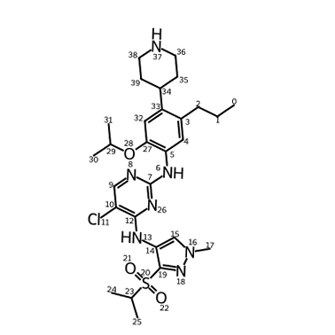 CCCc1cc(Nc2ncc(Cl)c(Nc3cn(C)nc3S(=O)(=O)C(C)C)n2)c(OC(C)C)cc1C1CCNCC1